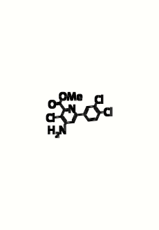 COC(=O)c1nc(-c2ccc(Cl)c(Cl)c2)cc(N)c1Cl